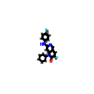 O=c1c(F)cc2cnc(Nc3ccc(F)cc3)cc2n1C1CCCCC1